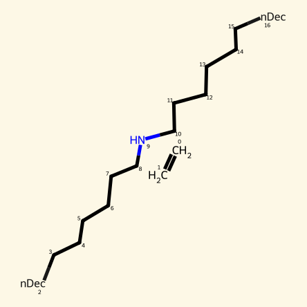 C=C.CCCCCCCCCCCCCCCCNCCCCCCCCCCCCCCCC